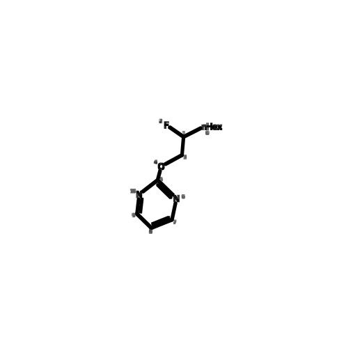 CCCCCCC(F)COc1ncccn1